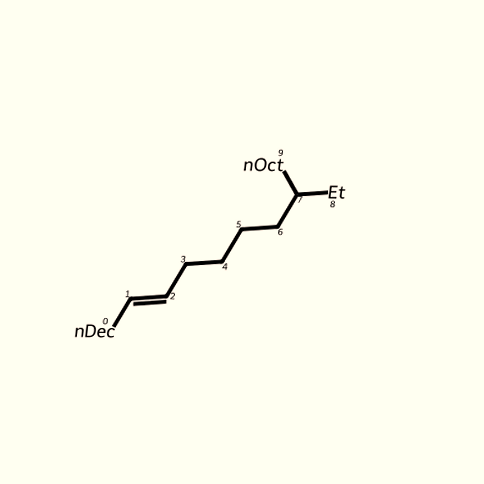 [CH2]CCCCCCCCCC=CCCCCC(CC)CCCCCCC[CH2]